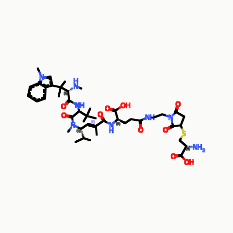 CN[C@H](C(=O)NC(C(=O)N(C)[C@H](/C=C(\C)C(=O)N[C@H](CCC(=O)NCCN1C(=O)CC(SC[C@H](N)C(=O)O)C1=O)C(=O)O)C(C)C)C(C)(C)C)C(C)(C)c1cn(C)c2ccccc12